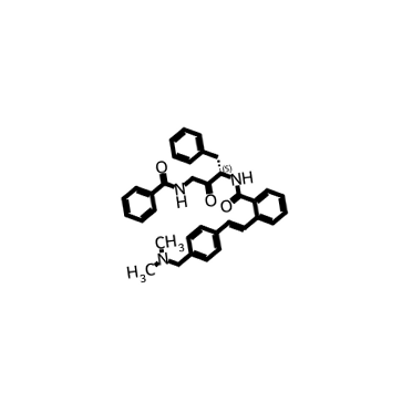 CN(C)Cc1ccc(C=Cc2ccccc2C(=O)N[C@@H](Cc2ccccc2)C(=O)CNC(=O)c2ccccc2)cc1